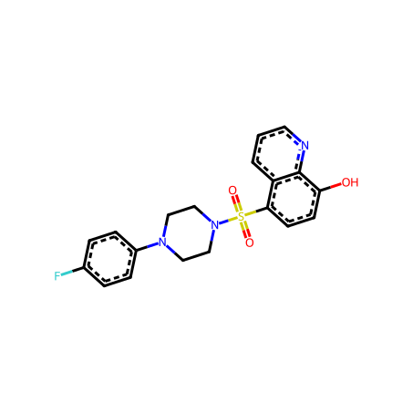 O=S(=O)(c1ccc(O)c2ncccc12)N1CCN(c2ccc(F)cc2)CC1